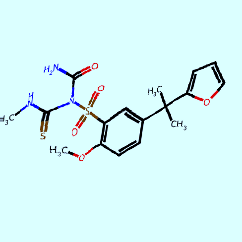 CNC(=S)N(C(N)=O)S(=O)(=O)c1cc(C(C)(C)c2ccco2)ccc1OC